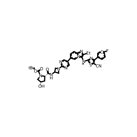 CCc1nc2ccc(-c3cnc(N4CC(NC(=O)[C@@H]5C[C@H](O)CN5C(=O)OC(C)(C)C)C4)nc3)cn2c1N(C)c1nc(-c2ccc(F)cc2)c(C#N)s1